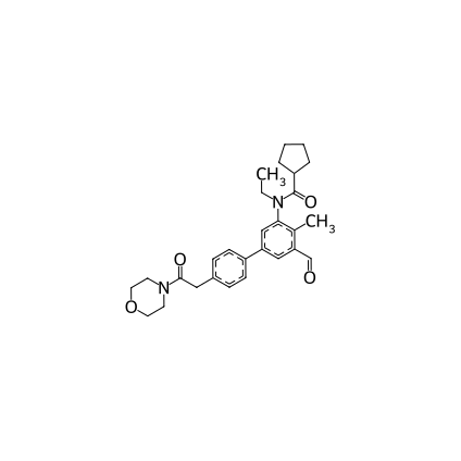 CCN(C(=O)C1CCCC1)c1cc(-c2ccc(CC(=O)N3CCOCC3)cc2)cc(C=O)c1C